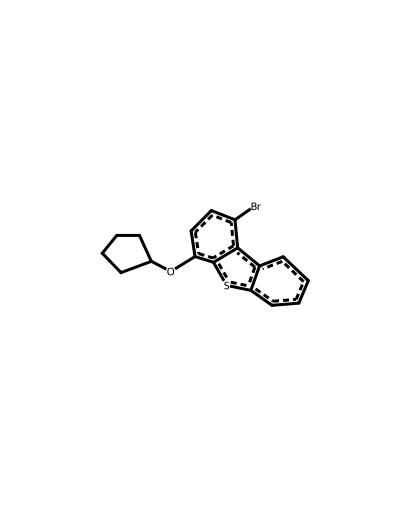 Brc1ccc(OC2CCCC2)c2sc3ccccc3c12